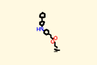 C[Si](C)(C)CCCOC(=O)CCc1ccc(Nc2ccc(-c3ccccc3)cc2)cc1